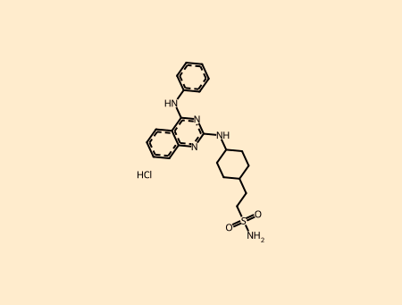 Cl.NS(=O)(=O)CCC1CCC(Nc2nc(Nc3ccccc3)c3ccccc3n2)CC1